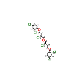 ClC(=COC=C(Cl)CCOc1ccc(Cl)cc1Cl)CCOc1ccc(Cl)cc1Cl